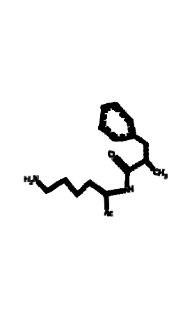 CC(=O)C(CCCCN)NC(=O)C(C)Cc1ccccc1